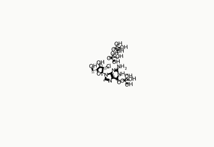 Nc1nc2c(ncn2[C@@H]2O[C@H](CO)[C@@H](O)[C@@H]2Cl)c(=O)[nH]1.O=P(O)(O)O.O=P(O)(O)O.O=P(O)(O)O